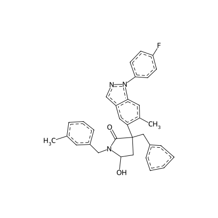 Cc1cccc(CN2C(=O)C(Cc3ccccc3)(c3cc4cnn(-c5ccc(F)cc5)c4cc3C)CC2O)c1